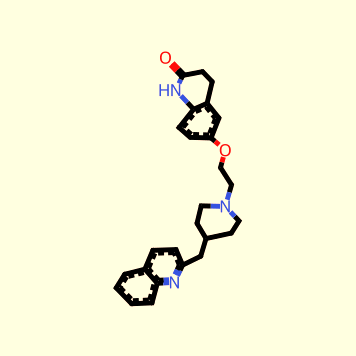 O=C1CCc2cc(OCCN3CCC(Cc4ccc5ccccc5n4)CC3)ccc2N1